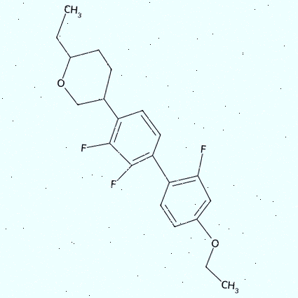 CCOc1ccc(-c2ccc(C3CCC(CC)OC3)c(F)c2F)c(F)c1